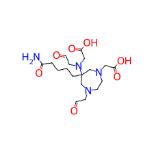 NC(=O)CCCCC1(N(CC=O)CC(=O)O)CN(CC=O)CCN(CC(=O)O)C1